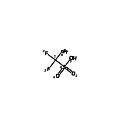 CCCC(F)(F)S(=O)(=O)O